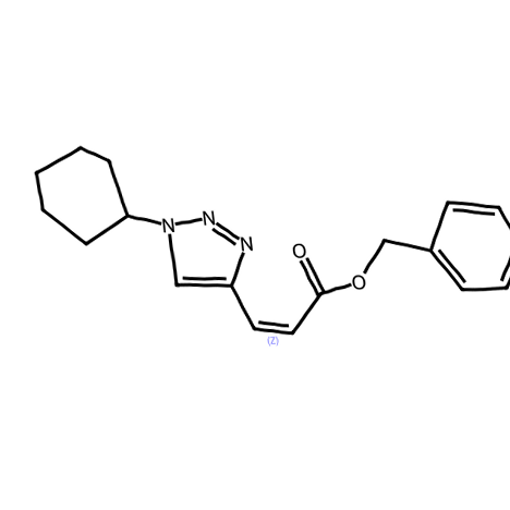 O=C(/C=C\c1cn(C2CCCCC2)nn1)OCc1ccccc1